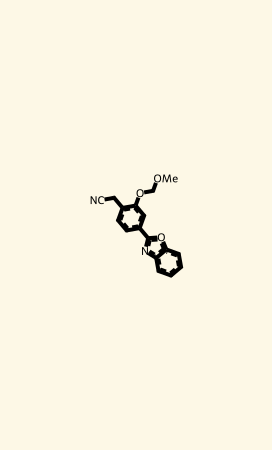 COCOc1cc(-c2nc3ccccc3o2)ccc1CC#N